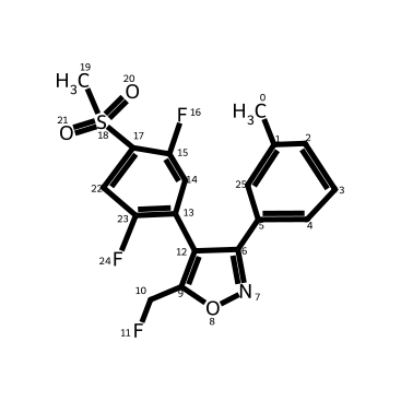 Cc1cccc(-c2noc(CF)c2-c2cc(F)c(S(C)(=O)=O)cc2F)c1